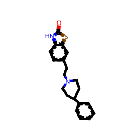 O=c1[nH]c2ccc(CCN3CCC(c4ccccc4)CC3)cc2s1